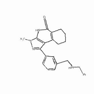 CC(C)CNCc1cccc(-c2nn(C)c3[nH]c(=O)c4c(c23)CCCC4)c1